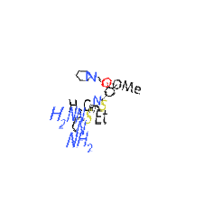 CCc1sc(-c2ccc(OC)c(OCCN3CCCCC3)c2)nc1[C@@H](C)Sc1nc(N)cc(N)n1